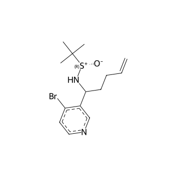 C=CCCC(N[S@@+]([O-])C(C)(C)C)c1cnccc1Br